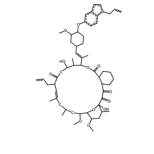 C=CCC1/C=C(\C)CC(C)CC(OC)C2OC(O)(C(=O)C(=O)N3CCCCC3C(=O)OC(C(C)=CC3CCC(Oc4ccc5c(ccn5CC=C)c4)C(OC)C3)C(C)C(O)CC1=O)C(C)CC2OC